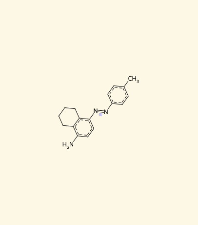 Cc1ccc(/N=N/c2ccc(N)c3c2CCCC3)cc1